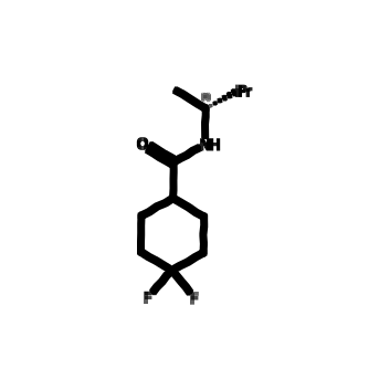 CC(C)[C@@H](C)NC(=O)C1CCC(F)(F)CC1